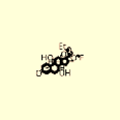 CCC(=O)O[C@@]1(C(=O)OCF)[C@@H](C)C[C@H]2[C@H]3[C@H]([C@@H](O)C[C@@]21C)[C@@]1(C)C=CC(=O)C=C1C[C@@H]3O